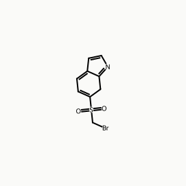 O=S(=O)(CBr)C1=CC=C2C=CN=C2C1